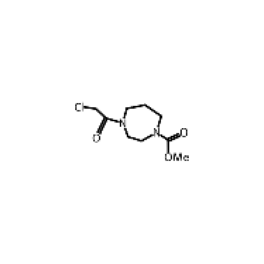 COC(=O)N1CCCN(C(=O)CCl)CC1